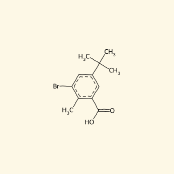 Cc1c(Br)cc(C(C)(C)C)cc1C(=O)O